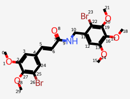 COc1cc(/C=C/C(=O)NCc2cc(OC)c(OC)c(OC)c2Br)cc(Br)c1OC